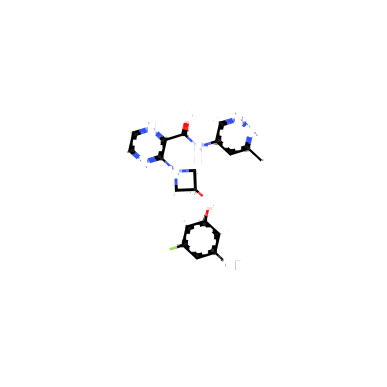 Cc1cc(NC(=O)c2nccnc2N2CC(Oc3cc(F)cc(C(F)(F)F)c3)C2)cnn1